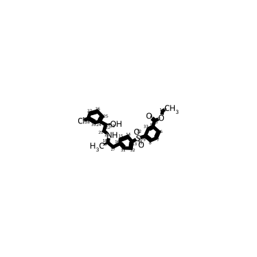 CCOC(=O)c1cccc(S(=O)(=O)c2ccc(C[C@@H](C)NC[C@H](O)c3cccc(Cl)c3)cc2)c1